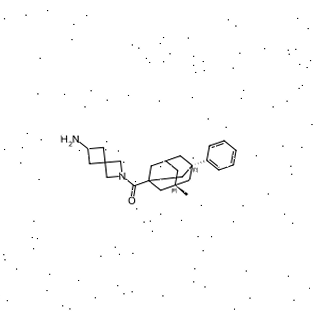 C[C@]12CC3CC(C(=O)N4CC5(CC(N)C5)C4)(C1)C[C@@](c1ccccc1)(C3)C2